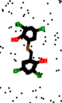 Oc1c(Cl)cc(Cl)cc1CSc1cc(Cl)cc(Cl)c1O